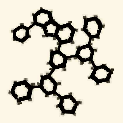 c1ccc(-c2cccc3c2sc2c(-c4ccc(-c5cc(-c6cccnc6)cc(-c6cccnc6)c5)nc4-c4cc(-c5cccnc5)cc(-c5cccnc5)c4)cccc23)cc1